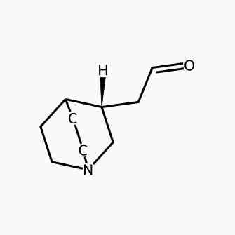 O=CC[C@@H]1CN2CCC1CC2